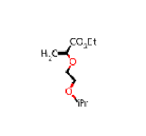 C=C(OCCOC(C)C)C(=O)OCC